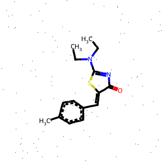 CCN(CC)C1=NC(=O)/C(=C/c2ccc(C)cc2)S1